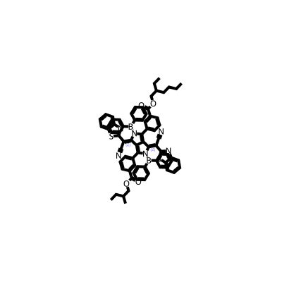 CCCCC(CC)COC(=O)c1cccc(-c2c3/c(=C(\C#N)c4nc5ccccc5s4)n(B(c4ccccc4)c4ccccc4)c(-c4cccc(C(=O)OCC(C)CC)c4)c3/c(=C(\C#N)c3nc4ccccc4s3)n2B(c2ccccc2)c2ccccc2)c1